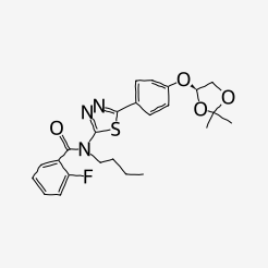 CCCCN(C(=O)c1ccccc1F)c1nnc(-c2ccc(O[C@H]3COC(C)(C)O3)cc2)s1